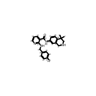 CC1(C)CNCc2cc(NC(=O)c3cccnc3NCc3ccc(F)cc3)ccc21